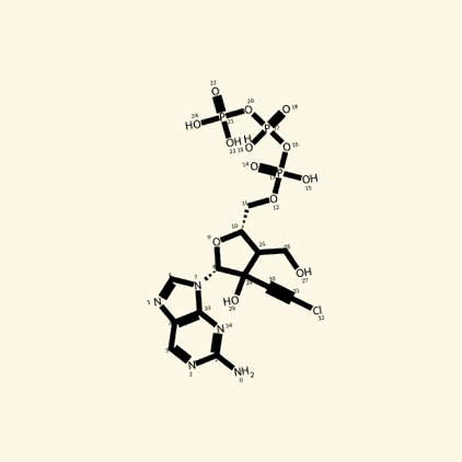 Nc1ncc2ncn([C@@H]3O[C@H](COP(=O)(O)OP(=O)(O)OP(=O)(O)O)C(CO)C3(O)C#CCl)c2n1